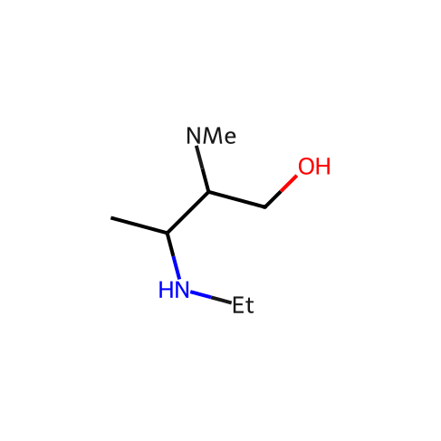 CCNC(C)C(CO)NC